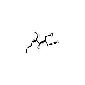 COC/C=C(OC)\C(Cl)=C(/CCl)N=C=O